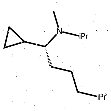 CC(C)CCC[C@H](C1CC1)N(C)C(C)C